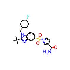 CC(C)(C)c1nc2cc(S(=O)(=O)n3ccc(C(N)=O)c3)ccc2n1CC1CCC(F)CC1